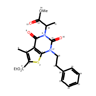 CCOC(=O)c1sc2c(c1C)c(=O)n(C(C)C(=O)OC)c(=O)n2CCc1ccccc1